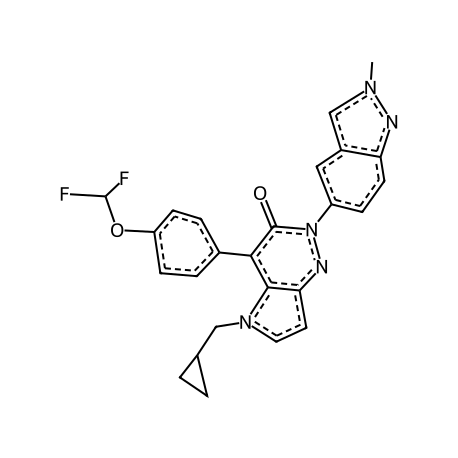 Cn1cc2cc(-n3nc4ccn(CC5CC5)c4c(-c4ccc(OC(F)F)cc4)c3=O)ccc2n1